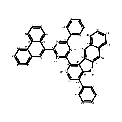 c1ccc(-c2nc(-c3cc4ccccc4c4ccccc34)nc(-c3ncc(-c4ccccc4)c4oc5cc6ccccc6cc5c34)n2)cc1